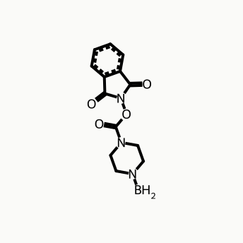 BN1CCN(C(=O)ON2C(=O)c3ccccc3C2=O)CC1